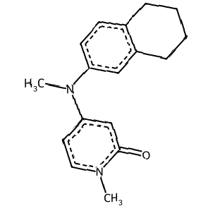 CN(c1ccc2c(c1)CCCC2)c1ccn(C)c(=O)c1